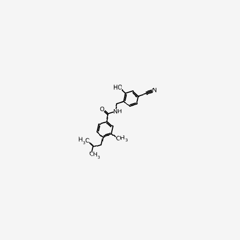 C[C](C)Cc1ccc(C(=O)NCc2ccc(C#N)cc2O)cc1C